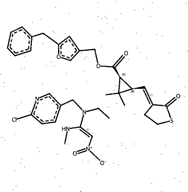 CC1(C)[C@H](/C=C2\CCSC2=O)[C@@H]1C(=O)OCc1coc(Cc2ccccc2)c1.CCN(Cc1ccc(Cl)nc1)/C(=C/[N+](=O)[O-])NC